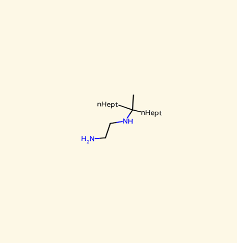 CCCCCCCC(C)(CCCCCCC)NCCN